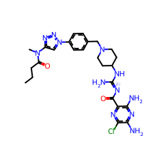 CCCC(=O)N(C)c1cn(-c2ccc(CN3CCC(N/C(N)=N/C(=O)c4nc(Cl)c(N)nc4N)CC3)cc2)nn1